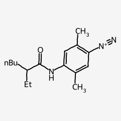 CCCCC(CC)C(=O)Nc1cc(C)c([N+]#N)cc1C